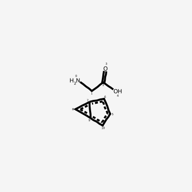 NCC(=O)O.c1cc2cc-2c1